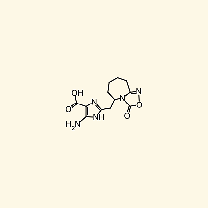 Nc1[nH]c(CC2CCCCc3noc(=O)n32)nc1C(=O)O